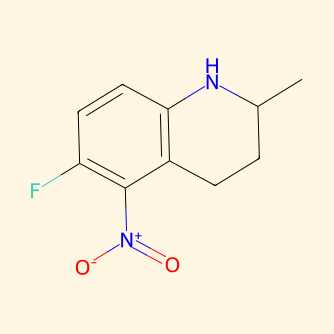 CC1CCc2c(ccc(F)c2[N+](=O)[O-])N1